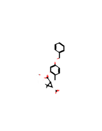 COC(=O)[C@H]1C(C)(C)[C@]1(Cc1ccc(OCc2ccccc2)cc1)C(=O)OC